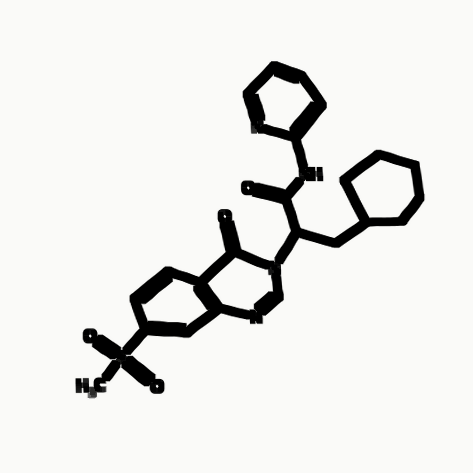 CS(=O)(=O)c1ccc2c(=O)n(C(CC3CCCCC3)C(=O)Nc3ccccn3)cnc2c1